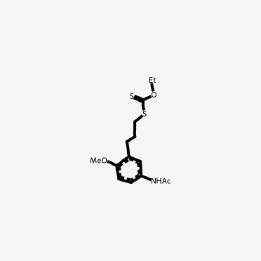 CCOC(=S)SCCCc1cc(NC(C)=O)ccc1OC